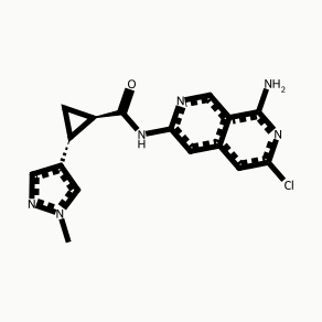 Cn1cc([C@@H]2C[C@H]2C(=O)Nc2cc3cc(Cl)nc(N)c3cn2)cn1